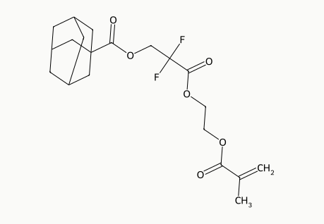 C=C(C)C(=O)OCCOC(=O)C(F)(F)COC(=O)C12CC3CC(CC(C3)C1)C2